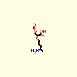 CC(N)CCCSC(COC=O)C(=O)O